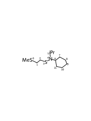 CSCCSN(C(C)C)C1CCCCC1